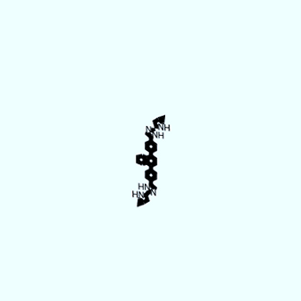 c1cc(-c2ccc(-c3ccc(-c4cnc([C@@H]5CC6CC6N5)[nH]4)cc3)c3c2C2CCC3C2)ccc1-c1cnc(C2CC3CC3N2)[nH]1